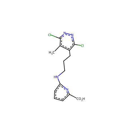 Cc1c(Cl)nnc(Cl)c1CCCNc1cccc(C(=O)O)n1